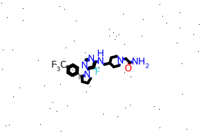 NC(=O)CN1CCC(CNc2ncnc(N3CCC[C@@H]3c3ccc(C(F)(F)F)cc3)c2F)CC1